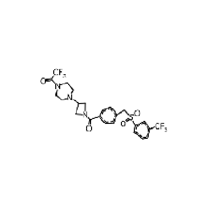 O=C(c1ccc(CS(=O)(=O)c2cccc(C(F)(F)F)c2)cc1)N1CC(N2CCN(C(=O)C(F)(F)F)CC2)C1